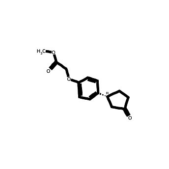 COC(=O)COc1ccc([C@@H]2CCC(=O)C2)cc1